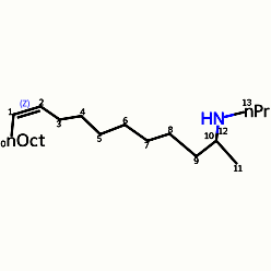 CCCCCCCC/C=C\CCCCCCCC(C)NCCC